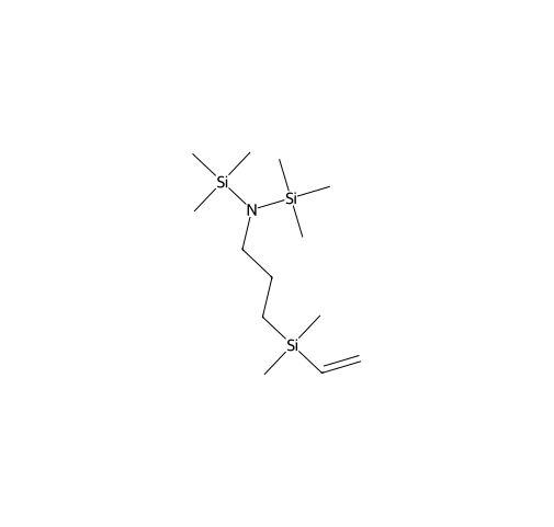 C=C[Si](C)(C)CCCN([Si](C)(C)C)[Si](C)(C)C